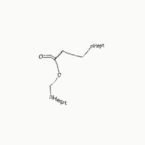 CCCCCCCCCC(=O)OCCCCCCCC